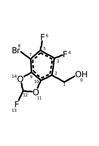 OCc1c(F)c(F)c(Br)c2c1OC(F)O2